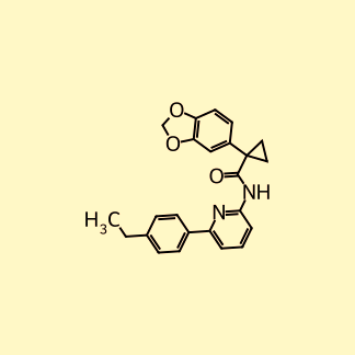 CCc1ccc(-c2cccc(NC(=O)C3(c4ccc5c(c4)OCO5)CC3)n2)cc1